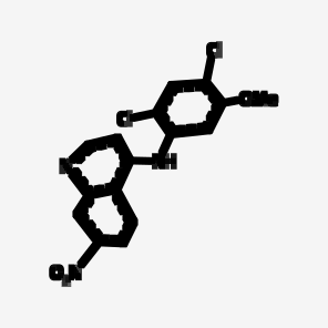 COc1cc(Nc2ccnc3cc([N+](=O)[O-])ccc23)c(Cl)cc1Cl